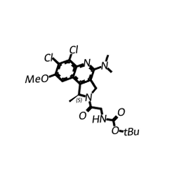 COc1cc2c3c(c(N(C)C)nc2c(Cl)c1Cl)CN(C(=O)CNC(=O)OC(C)(C)C)[C@H]3C